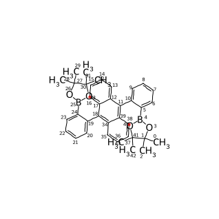 CC1(C)OB(c2ccccc2-c2c3ccccc3c(-c3ccccc3B3OC(C)(C)C(C)(C)O3)c3ccccc23)OC1(C)C